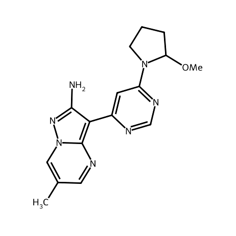 COC1CCCN1c1cc(-c2c(N)nn3cc(C)cnc23)ncn1